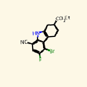 CCOC(=O)C1CCc2c([nH]c3c(C#N)cc(F)c(Br)c23)C1